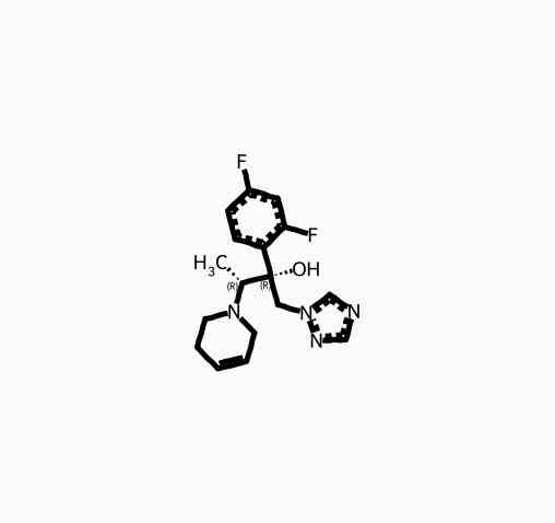 C[C@@H](N1CC=CCC1)[C@](O)(Cn1cncn1)c1ccc(F)cc1F